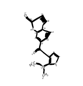 CN(C)c1sccc1C(=O)c1ccc2ccc(=O)oc2c1